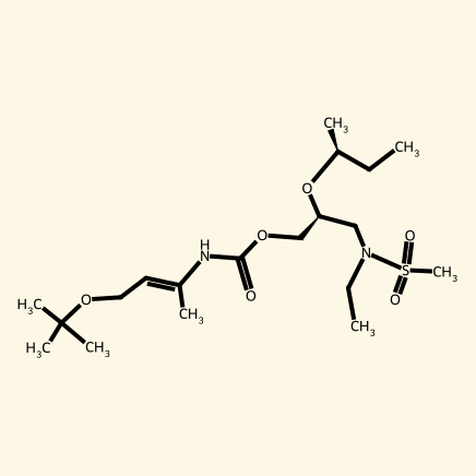 CC[C@H](C)O[C@H](COC(=O)N/C(C)=C/COC(C)(C)C)CN(CC)S(C)(=O)=O